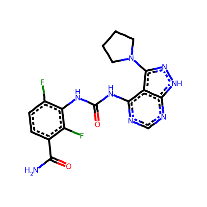 NC(=O)c1ccc(F)c(NC(=O)Nc2ncnc3[nH]nc(N4CCCC4)c23)c1F